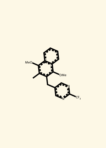 COc1c(C)c(Cc2cnc(C(F)(F)F)nc2)c(OC)c2ccccc12